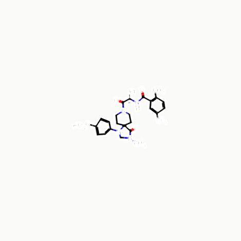 Cc1ccc(C(F)(F)F)cc1C(=O)N[C@@H](C(=O)N1CCC2(CC1)C(=O)N(C)CN2c1ccc(C(=O)O)cc1)C(C)C